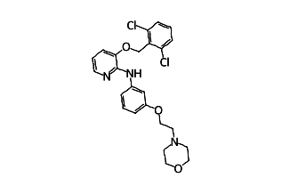 Clc1cccc(Cl)c1COc1cccnc1Nc1cccc(OCCN2CCOCC2)c1